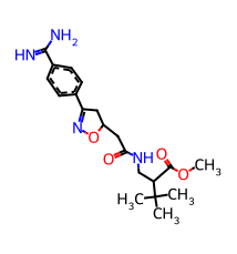 COC(=O)C(CNC(=O)CC1CC(c2ccc(C(=N)N)cc2)=NO1)C(C)(C)C